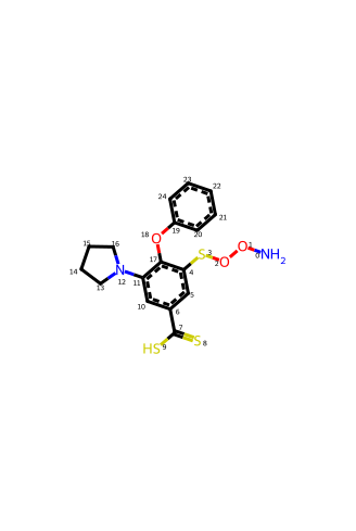 NOOSc1cc(C(=S)S)cc(N2CCCC2)c1Oc1ccccc1